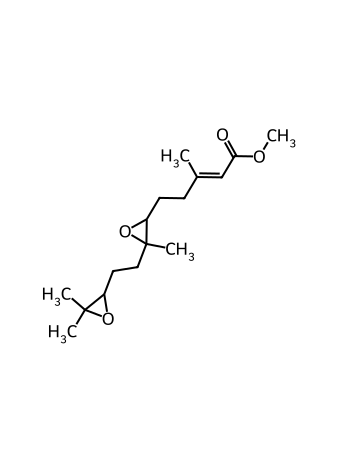 COC(=O)/C=C(\C)CCC1OC1(C)CCC1OC1(C)C